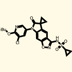 CCC(C)Oc1ncc(N2C(=O)C3(CC3)c3cc4c(NS(=O)(=O)C5CC5)noc4cc32)cc1Cl